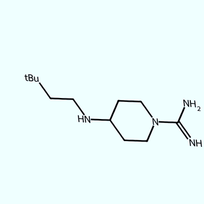 CC(C)(C)CCNC1CCN(C(=N)N)CC1